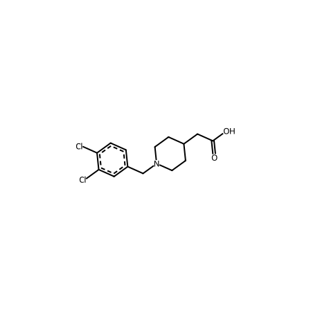 O=C(O)CC1CCN(Cc2ccc(Cl)c(Cl)c2)CC1